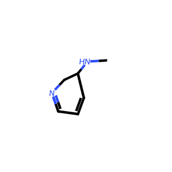 CNC1C=CC=NC1